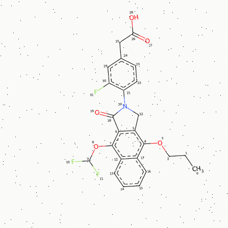 CCCOc1c2c(c(OC(F)F)c3ccccc13)C(=O)N(c1ccc(CC(=O)O)cc1F)C2